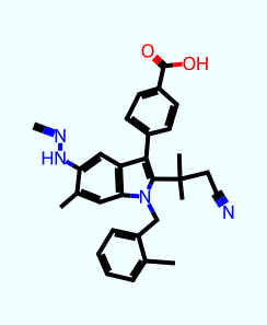 C=NNc1cc2c(-c3ccc(C(=O)O)cc3)c(C(C)(C)CC#N)n(Cc3ccccc3C)c2cc1C